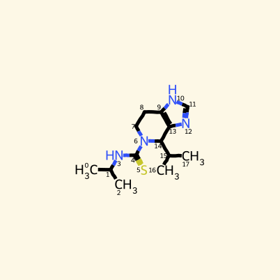 CC(C)NC(=S)N1CCc2[nH]cnc2C1C(C)C